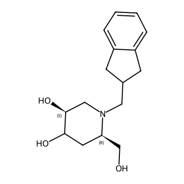 OC[C@H]1CC(O)[C@@H](O)CN1CC1Cc2ccccc2C1